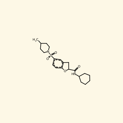 CC1CCN(S(=O)(=O)c2ccc3c(c2)CC(C(=O)NC2CCCCC2)O3)CC1